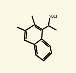 CCCCCCCCC(I)c1c(C)c(C)cc2ccccc12